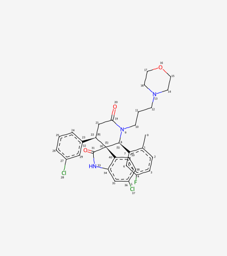 Cc1ccc(F)cc1[C@@H]1N(CCCN2CCOCC2)C(=O)C[C@H](c2cccc(Cl)c2)[C@@]12C(=O)Nc1cc(Cl)ccc12